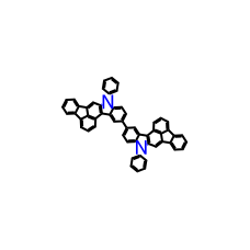 c1ccc(-n2c3ccc(-c4ccc5c(c4)c4c6cccc7c6c(cc4n5-c4ccccc4)-c4ccccc4-7)cc3c3c4cccc5c4c(cc32)-c2ccccc2-5)cc1